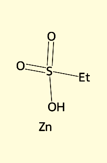 CCS(=O)(=O)O.[Zn]